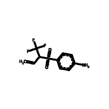 C=CC(C(F)(F)F)S(=O)(=O)c1ccc(N)cc1